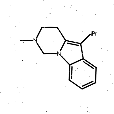 CC(C)c1c2n(c3ccccc13)CN(C)CC2